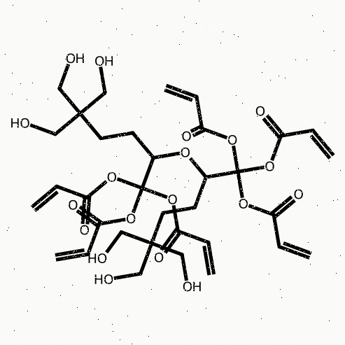 C=CC(=O)OC(OC(=O)C=C)(OC(=O)C=C)C(CCC(CO)(CO)CO)OC(CCC(CO)(CO)CO)C(OC(=O)C=C)(OC(=O)C=C)OC(=O)C=C